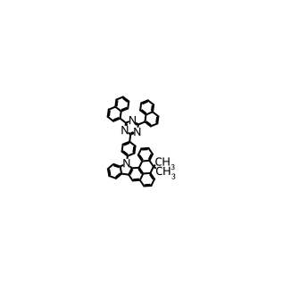 CC1(C)c2ccccc2-c2c3c1cccc3cc1c3ccccc3n(-c3ccc(-c4nc(-c5cccc6ccccc56)nc(-c5cccc6ccccc56)n4)cc3)c21